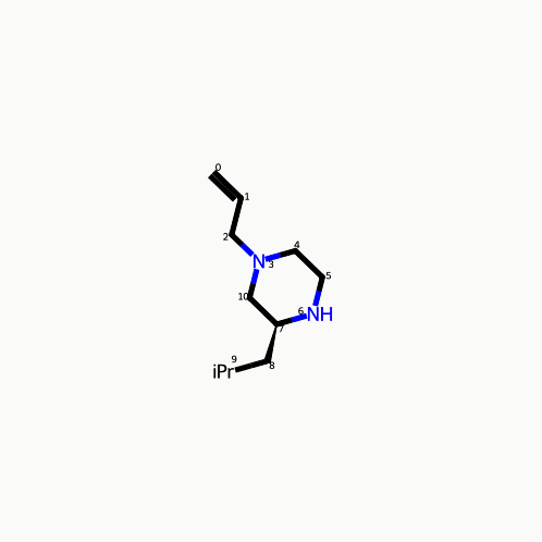 C=CCN1CCN[C@@H](CC(C)C)C1